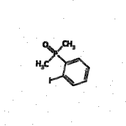 CP(C)(=O)c1ccccc1I